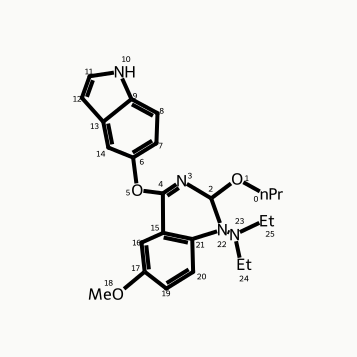 CCCOC1N=C(Oc2ccc3[nH]ccc3c2)c2cc(OC)ccc2N1N(CC)CC